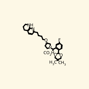 CC1(C)COC(c2ccc(F)cc2C(C(=O)O)N2CC[C@@H](OCCCCc3ccc4c(n3)NCCC4)C2)OC1